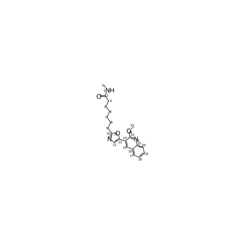 CNC(=O)CCCCCCc1ncc(-c2cc3ccccc3nc2OC)o1